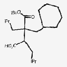 CC(C)COC(=O)C(CC(C)C)(CC1CCCCC1)C(CC(C)C)C(=O)O